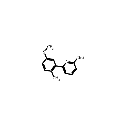 Cc1ccc(SC(F)(F)F)cc1-c1cccc(C(C)(C)C)n1